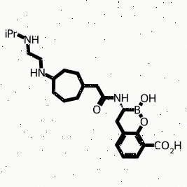 CC(C)NCCNC1CCCC(CC(=O)N[C@H]2Cc3cccc(C(=O)O)c3OB2O)CC1